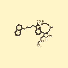 CN1CCCn2c(C(=O)O)c(CCCOc3cccc4ccccc34)c3cccc(c32)C2=C(C1)N(C)NC2CNCC(F)(F)F